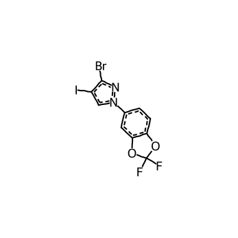 FC1(F)Oc2ccc(-n3cc(I)c(Br)n3)cc2O1